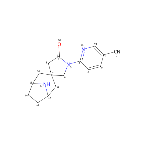 N#Cc1ccc(N2CC3(CC2=O)CC2CCC(C3)N2)nc1